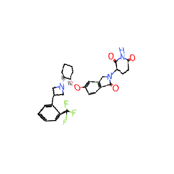 O=C1CCC(N2Cc3cc(O[C@H]4CCCC[C@H]4N4CC(c5ccccc5C(F)(F)F)C4)ccc3C2=O)C(=O)N1